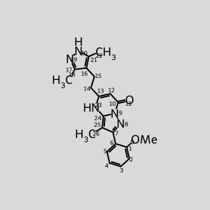 COc1ccccc1-c1nn2c(=O)cc(CCc3c(C)n[nH]c3C)[nH]c2c1C